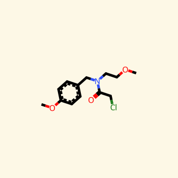 COCCN(Cc1ccc(OC)cc1)C(=O)CCl